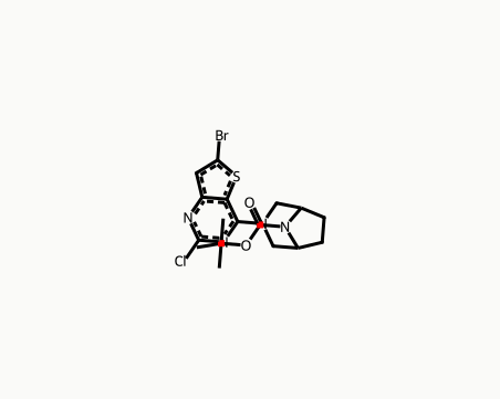 CC(C)(C)OC(=O)N1C2CCC1CN(c1nc(Cl)nc3cc(Br)sc13)C2